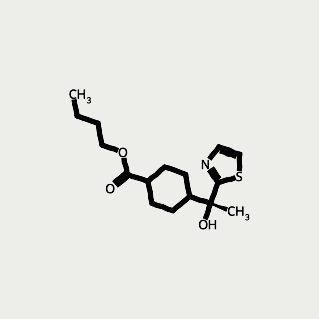 CCCCOC(=O)C1CCC([C@@](C)(O)c2nccs2)CC1